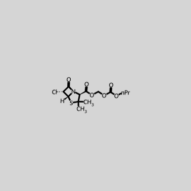 CCCOC(=O)OCOC(=O)[C@@H]1N2C(=O)[C@@H](Cl)[C@H]2SC1(C)C